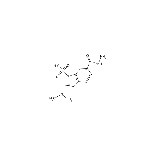 CN(C)Cc1cc2ccc(C(=O)NN)cc2n1S(C)(=O)=O